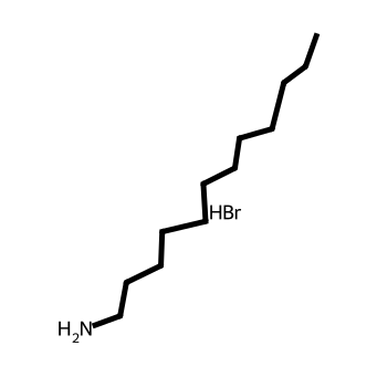 Br.CCCCCCCCCCCCN